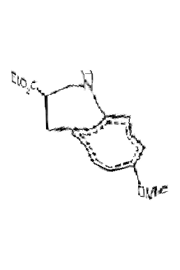 CCOC(=O)C1Cc2cc(OC)ccc2N1